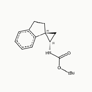 CC(C)(C)OC(=O)N[C@H]1C[C@@]12CCc1ccccc12